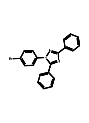 Brc1ccc(-n2nc(-c3ccccc3)nc2-c2ccccc2)cc1